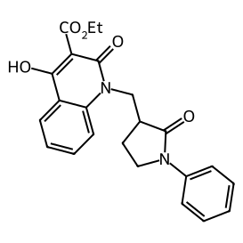 CCOC(=O)c1c(O)c2ccccc2n(CC2CCN(c3ccccc3)C2=O)c1=O